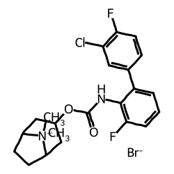 C[N+]1(C)C2CCC1CC(OC(=O)Nc1c(F)cccc1-c1ccc(F)c(Cl)c1)C2.[Br-]